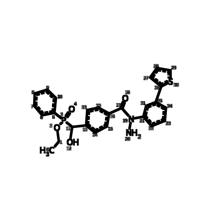 CCOP(=O)(c1ccccc1)C(O)c1ccc(C(=O)N(N)c2cccc(-c3cccs3)c2)cc1